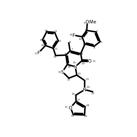 COc1cccc(-c2c(C)c(Cc3ccccc3F)c3n(c2=O)C(CN(C)Cc2ccco2)CS3)c1F